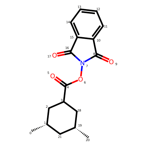 C[C@@H]1CC(C(=O)ON2C(=O)c3ccccc3C2=O)C[C@H](C)C1